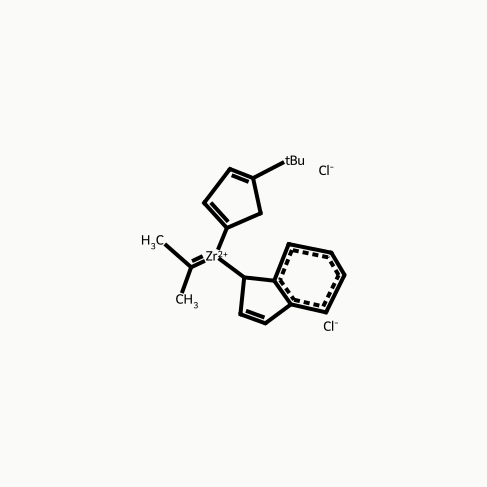 C[C](C)=[Zr+2]([C]1=CC=C(C(C)(C)C)C1)[CH]1C=Cc2ccccc21.[Cl-].[Cl-]